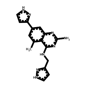 Cc1cc(-c2cc[nH]n2)cc2nc(N)nc(NCc3cc[nH]n3)c12